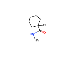 CCCNC(=O)C1(CC)CCCCC1